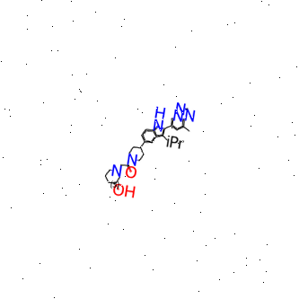 Cc1cc(-c2[nH]c3ccc(C4CCN(C(=O)CN5CCC[C@H](O)C5)CC4)cc3c2C(C)C)cn2ncnc12